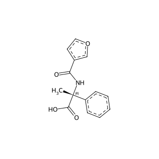 C[C@](NC(=O)c1ccoc1)(C(=O)O)c1ccccc1